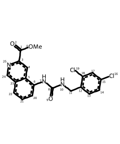 COC(=O)c1cc2c(NC(=O)NCc3ccc(Cl)cc3Cl)cccc2cn1